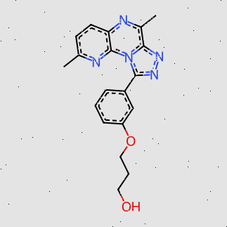 Cc1ccc2nc(C)c3nnc(-c4cccc(OCCCO)c4)n3c2n1